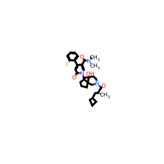 C[C@H](CC1CCC1)C(=O)N1CC[C@](O)(Cn2cc(C(=O)N(C)C)c(-c3ccccc3F)cc2=O)C2(CCCC2)C1